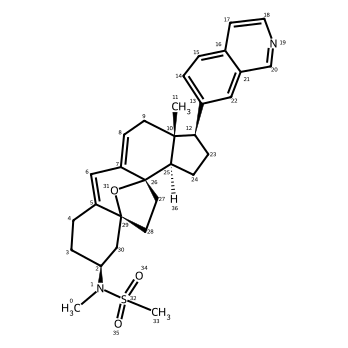 CN([C@H]1CCC2=CC3=CC[C@]4(C)[C@@H](c5ccc6ccncc6c5)CC[C@H]4[C@@]34CC[C@]2(C1)O4)S(C)(=O)=O